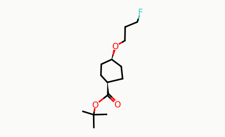 CC(C)(C)OC(=O)[C@H]1CC[C@@H](OCCCF)CC1